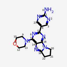 Nc1ncc(-c2nc(N3CCOCC3)c3nc4n(c3n2)CCC4)cn1